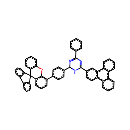 c1ccc(C2=NC(c3ccc(-c4cccc5c4Oc4ccccc4C54c5ccccc5-c5ccccc54)cc3)NC(c3ccc4c5ccccc5c5ccccc5c4c3)=N2)cc1